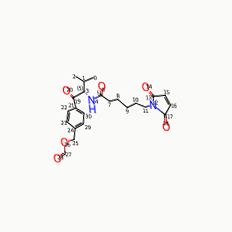 CC(C)[C@H](NC(=O)CCCCCN1C(=O)C=CC1=O)C(=O)c1ccc(COC=O)cc1